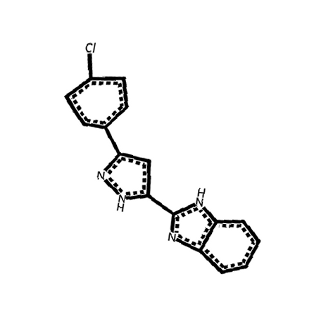 Clc1ccc(-c2cc(-c3nc4ccccc4[nH]3)[nH]n2)cc1